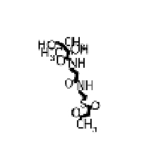 CC(=O)CC(=O)SCCNC(=O)CCNC(=O)[C@H](O)C(C)(C)CO